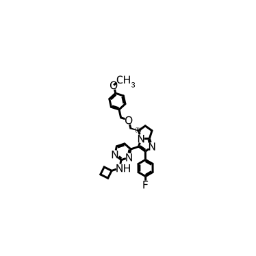 COc1ccc(COC[C@H]2CCc3nc(-c4ccc(F)cc4)c(-c4ccnc(NC5CCC5)n4)n32)cc1